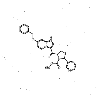 CC(C)(C)OC(=O)N1C(C(=O)c2c[nH]c3cc(OCc4ccccc4)ccc23)CSC1c1cccnc1